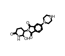 O=C1CCC(N2C(=O)c3ccc(N4CCNCC4)cc3C2=O)C(O)N1